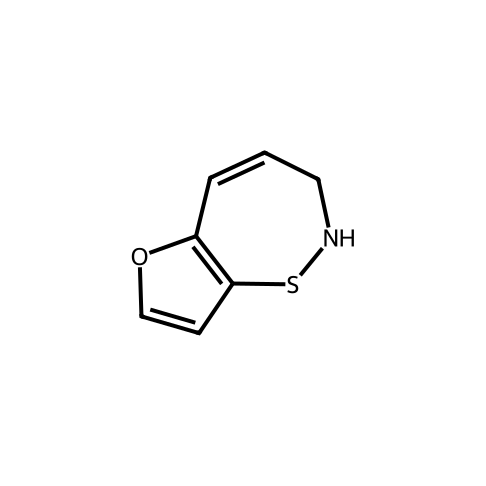 C1=Cc2occc2SNC1